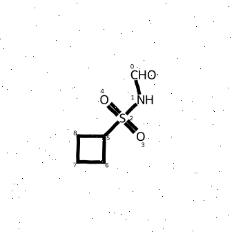 O=[C]NS(=O)(=O)C1CCC1